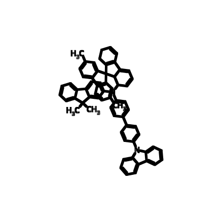 Cc1ccc2c(c1)C1(C3=C(C=CCC3)C3=CC=CC(N(c4ccc(-c5ccc(-n6c7ccccc7c7ccccc76)cc5)cc4)c4ccc5c(c4)C(C)(C)c4ccccc4-5)C31)c1cc(C)ccc1-2